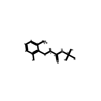 Cc1cccc(N)c1CNC(=O)OC(C)(C)C